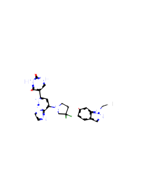 O=c1[nH]cc(-c2cc(N3C[C@H](Oc4ccc5cnn(CC(F)(F)F)c5c4)C(F)(F)C3)c3nccn3n2)c(=O)[nH]1